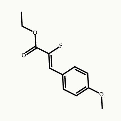 CCOC(=O)C(F)=Cc1ccc(OC)cc1